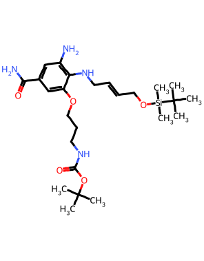 CC(C)(C)OC(=O)NCCCOc1cc(C(N)=O)cc(N)c1NC/C=C/CO[Si](C)(C)C(C)(C)C